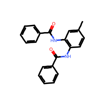 Cc1ccc(NC(=O)c2ccccc2)c(NC(=O)c2ccccc2)c1